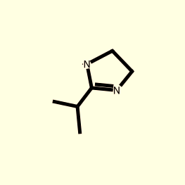 CC(C)C1=NCC[N]1